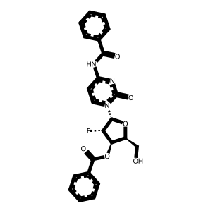 O=C(Nc1ccn([C@@H]2O[C@@H](CO)[C@@H](OC(=O)c3ccccc3)[C@@H]2F)c(=O)n1)c1ccccc1